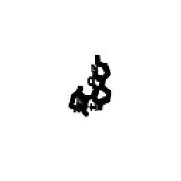 Cc1ccc2c(n1)oc1c(N3[C@@H](C)N4CCC3(C)CC4)c(C)ccc12